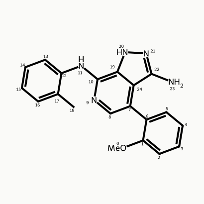 COc1ccccc1-c1cnc(Nc2ccccc2C)c2[nH]nc(N)c12